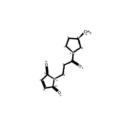 C[C@@H]1CCN(C(=O)CCN2C(=O)C=CC2=O)C1